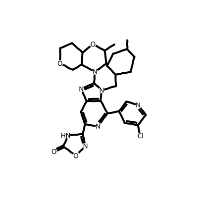 CC1CCC(Cn2c(N3CC(C)OC4CCOCC43)nc3cc(-c4noc(=O)[nH]4)nc(-c4cncc(Cl)c4)c32)CC1